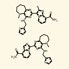 CN1CCCCc2nc(-c3ncc4c(C(N)=O)cccn34)nc(NCc3cccs3)c21.Cc1nc2c(C(N)=O)cccn2c1-c1nc2c(c(NCc3cccs3)n1)N(C)CCCC2